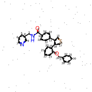 O=C(NCc1cccnc1)c1ccc(-c2cscc2-c2ccccc2OCc2ccccc2)cc1